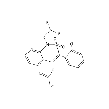 CC(C)C(=O)OC1=C(c2ccccc2Cl)S(=O)(=O)N(CC(F)F)c2ncccc21